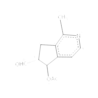 CC(=O)OC1c2ccnc(C)c2C[C@H]1C=O